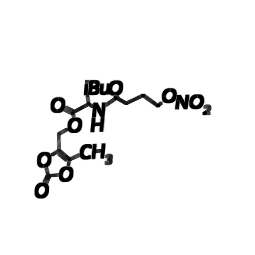 CCC(C)C(NC(=O)CCCO[N+](=O)[O-])C(=O)OCc1oc(=O)oc1C